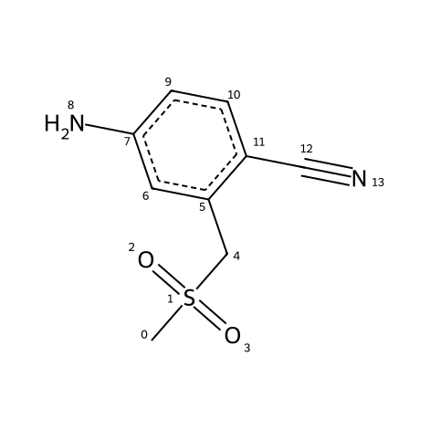 CS(=O)(=O)Cc1cc(N)ccc1C#N